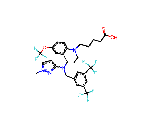 CCN(CCCCC(=O)O)c1ccc(OC(F)(F)F)cc1CN(Cc1cc(C(F)(F)F)cc(C(F)(F)F)c1)c1ccn(C)n1